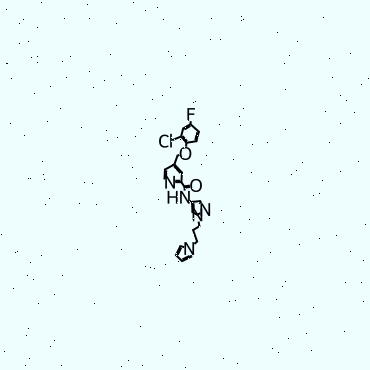 O=C(Nc1cnn(CCCn2cccc2)c1)c1cc(COc2ccc(F)cc2Cl)ccn1